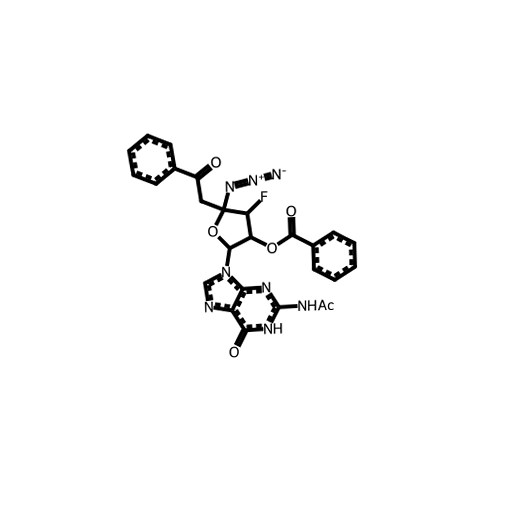 CC(=O)Nc1nc2c(ncn2C2OC(CC(=O)c3ccccc3)(N=[N+]=[N-])C(F)C2OC(=O)c2ccccc2)c(=O)[nH]1